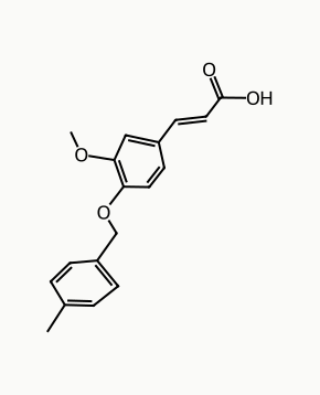 COc1cc(/C=C/C(=O)O)ccc1OCc1ccc(C)cc1